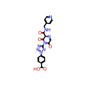 O=C(O)c1ccc(-n2nnc(N3C(=O)C=NC(C(=O)NCc4ccncc4)C3=O)n2)cc1